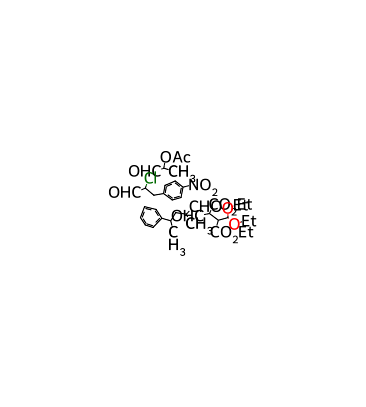 CC(=O)OC(C)C=O.CC(C=O)CC(C)c1ccccc1.CCOC(=O)C(C=O)C(C(=O)OCC)C(OCC)OCC.O=CC(Cl)Cc1ccc([N+](=O)[O-])cc1